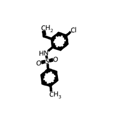 C=Cc1cc(Cl)ccc1NS(=O)(=O)c1ccc(C)cc1